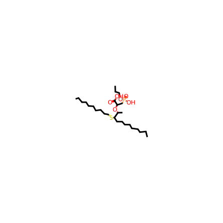 CCCCCCCCCCSC(CCCCCCCCC)C(C)OC(CP(=O)(O)OCCC)C(=O)O